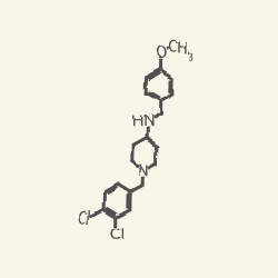 COc1ccc(CNC2CCN(Cc3ccc(Cl)c(Cl)c3)CC2)cc1